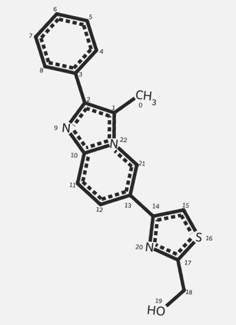 Cc1c(-c2ccccc2)nc2ccc(-c3csc(CO)n3)cn12